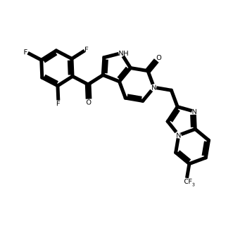 O=C(c1c(F)cc(F)cc1F)c1c[nH]c2c(=O)n(Cc3cn4cc(C(F)(F)F)ccc4n3)ccc12